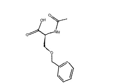 CC(=O)N[C@@H](COCc1ccccc1)C(=O)O